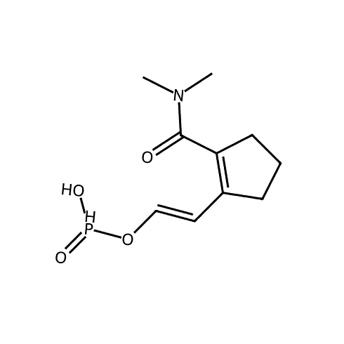 CN(C)C(=O)C1=C(C=CO[PH](=O)O)CCC1